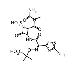 CN(C(N)=O)C(=O)[C@H]1[C@@H](NC(=O)/C(=N\OC(C)(C)C(=O)O)c2csc(N)n2)C(=O)N1S(=O)(=O)O